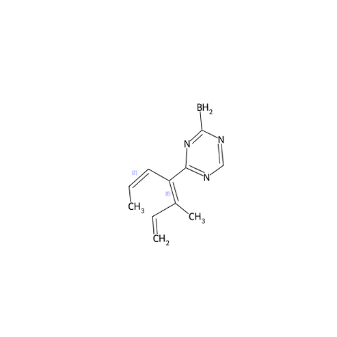 Bc1ncnc(C(/C=C\C)=C(\C)C=C)n1